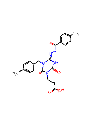 Cc1ccc(Cn2c(=O)n(CCC(=O)O)c(=O)[nH]/c2=N\NC(=O)c2ccc(C)cc2)cc1